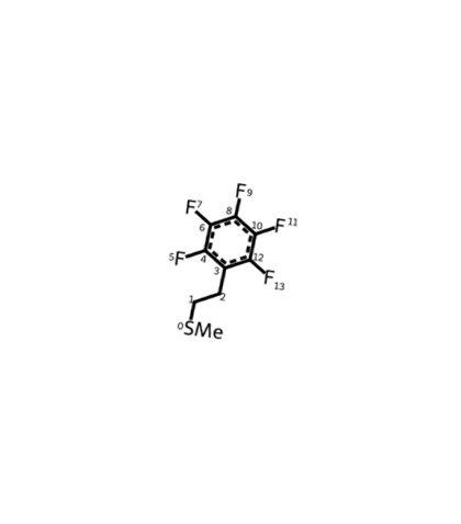 CSCCc1c(F)c(F)c(F)c(F)c1F